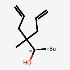 C=CCC(C)(CC=C)[C@H](O)CCCC